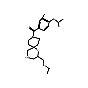 CCOCC1CNCC2(CCN(C(=O)c3ccc(OC(C)C)c(C)c3)CC2)O1